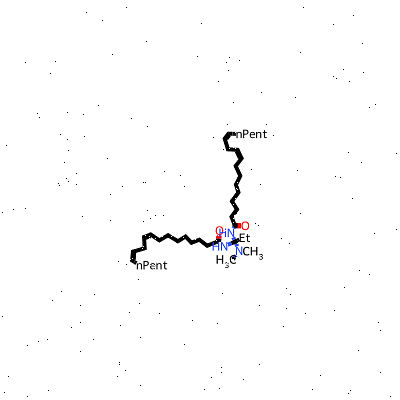 CCCCC/C=C\C/C=C\CCCCCCCC(=O)NC(CC)(NC(=O)CCCCCCC/C=C\C/C=C\CCCCC)N(C)C